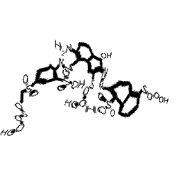 Nc1ccc2c(O)c(/N=N/c3ccc4c(SOOO)cccc4c3S(=O)(=O)O)c(SOOO)cc2c1/N=N/c1ccc(S(=O)(=O)CCOSOOO)cc1S(=O)(=O)O